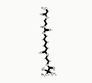 C=CC(=O)OCCNC(=O)OCCCCCC(=O)OCCOC(=O)C(C)(C)CC